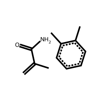 C=C(C)C(N)=O.Cc1ccccc1C